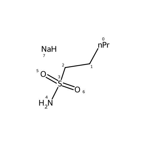 CCCCCS(N)(=O)=O.[NaH]